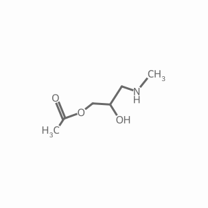 CNCC(O)COC(C)=O